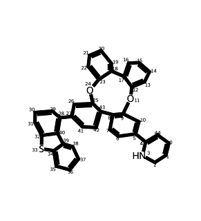 C1=CCNC(c2ccc3c(c2)Oc2ccccc2-c2ccccc2Oc2cc(-c4cccc5sc6ccccc6c45)ccc2-3)=C1